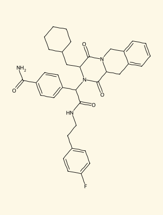 NC(=O)c1ccc(C(C(=O)NCCc2ccc(F)cc2)N2C(=O)C3Cc4ccccc4CN3C(=O)C2CC2CCCCC2)cc1